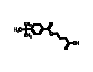 CC(C)(C)c1ccc(C(=O)OCCCC(=O)O)cc1